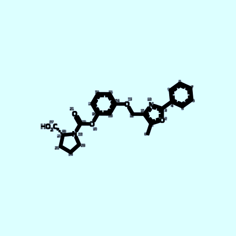 Cc1oc(-c2ccccc2)nc1COc1cccc(OC(=O)N2CCC[C@@H]2C(=O)O)c1